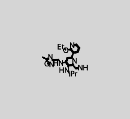 CCOc1ncccc1-c1cc(NCc2noc(C)n2)c(NC(C)C)c(C=N)n1